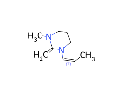 C=C1N(C)CCCN1/C=C\C